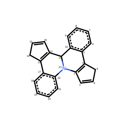 C1=CC2=C(C1)c1ccccc1C1C3=C(CC=C3)c3ccccc3N21